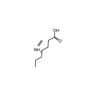 C=C.CCCCCCC(=O)O.N